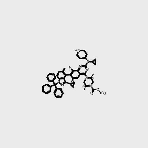 Cc1ccc2c(c(C3CC3)nn2C(c2ccccc2)(c2ccccc2)c2ccccc2)c1-c1c(Cl)cc2c(N3C[C@H](C)N(C(=O)OC(C)(C)C)C[C@@H]3C)nc(N(C3CCNCC3)C3CC3)nc2c1F